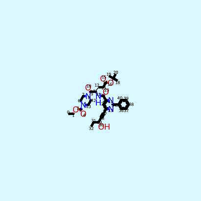 CCOC(=O)N1CCN(C(=O)[C@H](CCC(=O)OC(C)(C)C)NC(=O)c2cc(C#CC(O)CC)nc(-c3ccccc3)n2)CC1